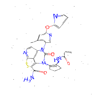 C=CC(=O)N[C@H]1CCC[C@H]1N1C(=O)N(c2cnc(Oc3ccccn3)cc2C)c2ccnc3sc(C(N)=O)c1c23